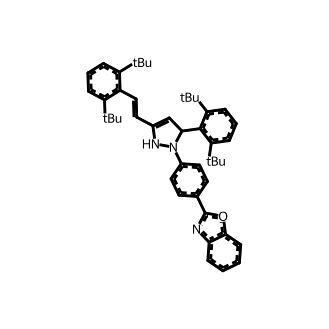 CC(C)(C)c1cccc(C(C)(C)C)c1C=CC1=CC(c2c(C(C)(C)C)cccc2C(C)(C)C)N(c2ccc(-c3nc4ccccc4o3)cc2)N1